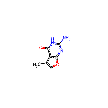 Cc1coc2nc(N)[nH]c(=O)c12